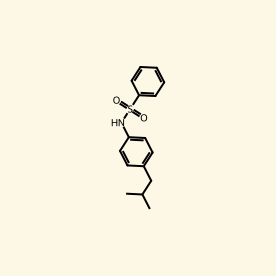 CC(C)Cc1ccc(NS(=O)(=O)c2ccccc2)cc1